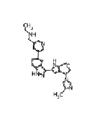 CCNCc1cncc(-c2ccc3[nH]nc(-c4cc5c(-n6cnc(C)c6)cccc5[nH]4)c3c2)c1